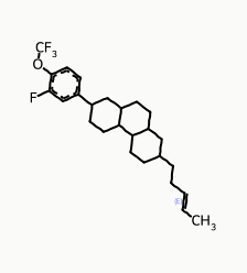 C/C=C/CCC1CCC2C(CCC3CC(c4ccc(OC(F)(F)F)c(F)c4)CCC32)C1